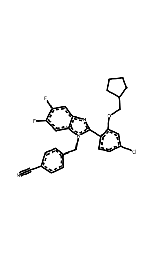 N#Cc1ccc(Cn2c(-c3ccc(Cl)cc3OCC3CCCC3)nc3cc(F)c(F)cc32)cc1